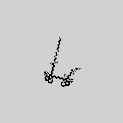 CC1(CCCCS(=O)(=O)[O-])C(/C=C/C=C/C=C2\N3CCCc4ccc(S(=O)(=O)[O-])c(c43)C2(C)CCCCCC(=O)NCCOCCOCCCCCCCl)=[N+]2CCCc3ccc(S(=O)(=O)[O-])c1c32.[Na+].[Na+]